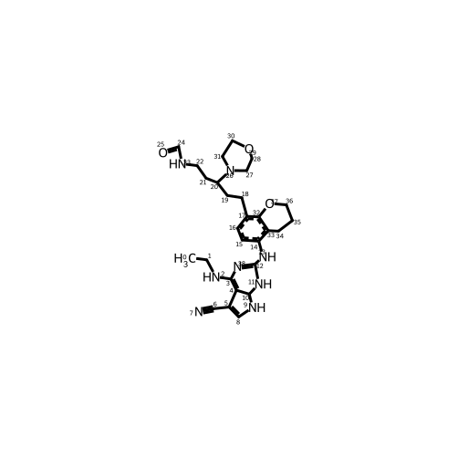 CCNC1=C2C(C#N)=CNC2NC(Nc2ccc(CCC(CCNC=O)N3CCOCC3)c3c2CCCO3)=N1